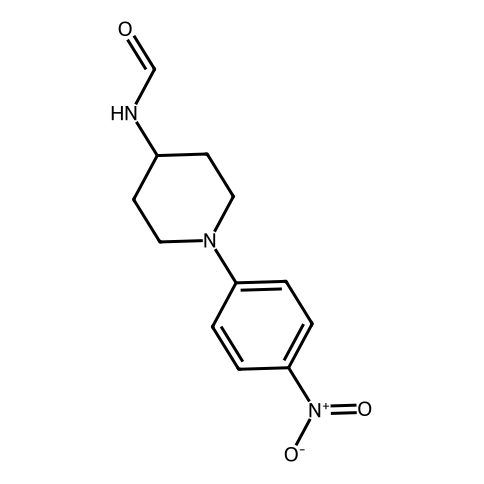 O=CNC1CCN(c2ccc([N+](=O)[O-])cc2)CC1